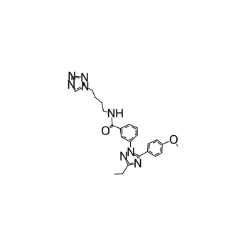 CCc1nc(-c2ccc(OC)cc2)n(-c2cccc(C(=O)NCCCCn3cnnn3)c2)n1